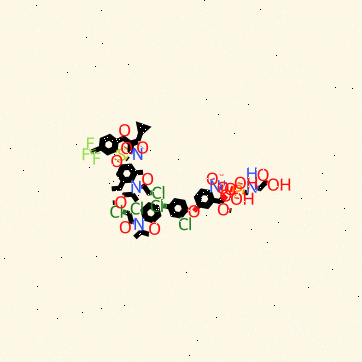 CC1COc2ccccc2N1C(=O)C(Cl)Cl.CCc1cccc(C)c1N(C(=O)CCl)C(C)COC.COC(=O)c1cc(Oc2ccc(Cl)cc2Cl)ccc1[N+](=O)[O-].CS(=O)(=O)c1cc(C(F)(F)F)ccc1C(=O)c1cnoc1C1CC1.O=C(O)CNCP(=O)(O)O